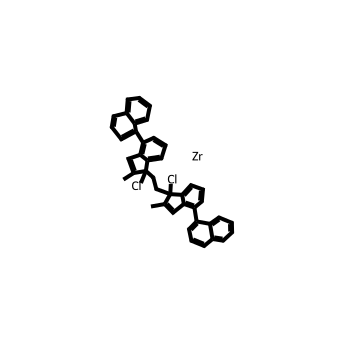 CC1=Cc2c(-c3cccc4ccccc34)cccc2C1(Cl)CCC1(Cl)C(C)=Cc2c(-c3cccc4ccccc34)cccc21.[Zr]